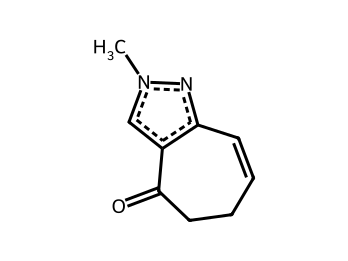 Cn1cc2c(n1)C=CCCC2=O